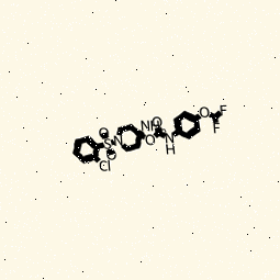 NC1(OC(=O)Nc2ccc(OC(F)F)cc2)CCN(S(=O)(=O)c2ccccc2Cl)CC1